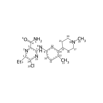 CCc1nc(C(N)=O)c(Nc2ccc(C)c(C3CCN(C)CC3)c2)nc1Cl